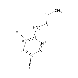 CCCNc1ncc(F)cc1F